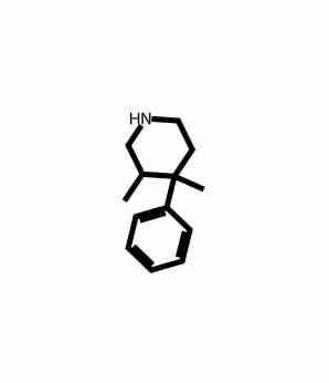 CC1CNCCC1(C)c1ccccc1